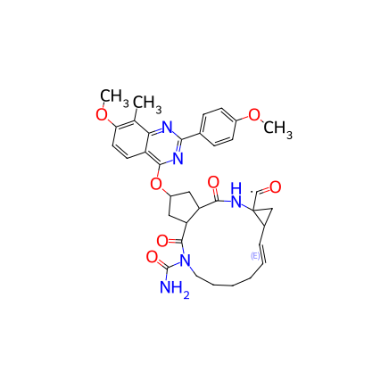 COc1ccc(-c2nc(OC3CC4C(=O)NC5([C]=O)CC5/C=C/CCCCN(C(N)=O)C(=O)C4C3)c3ccc(OC)c(C)c3n2)cc1